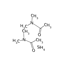 CC(=O)N(C)C.CC(=O)N(C)C.[SiH4]